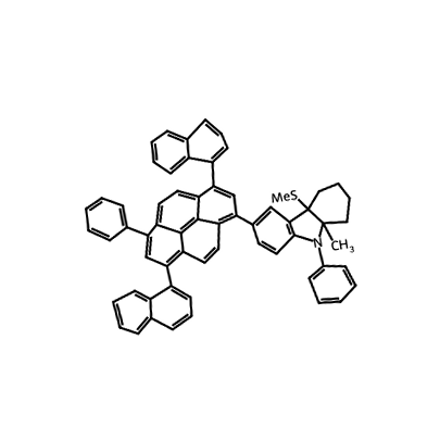 CSC12CCCCC1(C)N(c1ccccc1)c1ccc(-c3cc(-c4cccc5ccccc45)c4ccc5c(-c6ccccc6)cc(-c6cccc7ccccc67)c6ccc3c4c56)cc12